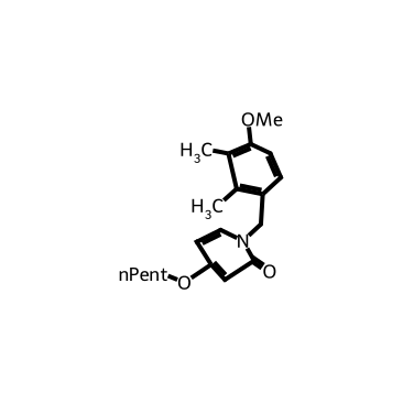 CCCCCOc1ccn(Cc2ccc(OC)c(C)c2C)c(=O)c1